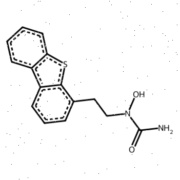 NC(=O)N(O)CCc1cccc2c1sc1ccccc12